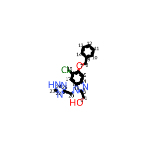 OCc1nc2cc(OCc3ccccc3)c(Cl)cc2n1Cc1nc[nH]n1